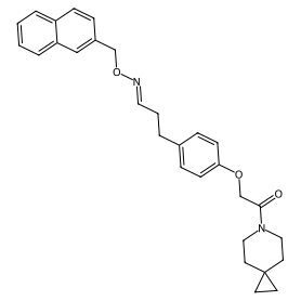 O=C(COc1ccc(CCC=NOCc2ccc3ccccc3c2)cc1)N1CCC2(CC1)CC2